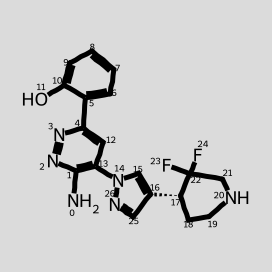 Nc1nnc(-c2ccccc2O)cc1-n1cc([C@H]2CCNCC2(F)F)cn1